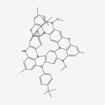 CSN1c2cc3c(cc2B2c4cc(C(C)(C)C)ccc4Oc4cc(C)cc1c42)B1c2cc4c(cc2N(SC)c2cc(C)cc(c21)O3)N(c1ccc(C(C)(C)C)cc1)c1cc(C)cc2c1B4c1cc(C)ccc1N2